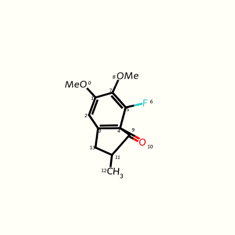 COc1cc2c(c(F)c1OC)C(=O)C(C)C2